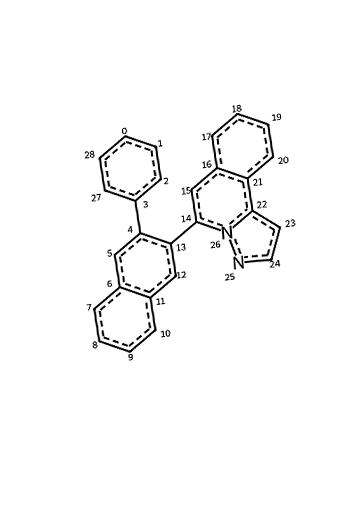 c1ccc(-c2cc3ccccc3cc2-c2cc3ccccc3c3ccnn23)cc1